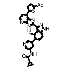 CC(=O)c1ccc(-c2ccnc3[nH]c(-c4n[nH]c5ccc(-c6cncc(NC(=O)C7CC7)c6)c(F)c45)nc23)s1